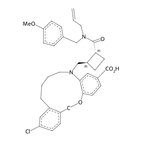 C=CCN(Cc1ccc(OC)cc1)C(=O)[C@@H]1CC[C@H]1CN1CCCCc2cc(Cl)ccc2COc2ccc(C(=O)O)cc21